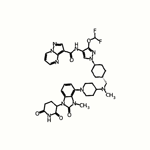 CN(C[C@H]1CC[C@H](n2cc(NC(=O)c3cnn4cccnc34)c(OC(F)F)n2)CC1)C1CCN(c2cccc3c2n(C)c(=O)n3C2CCC(=O)NC2=O)CC1